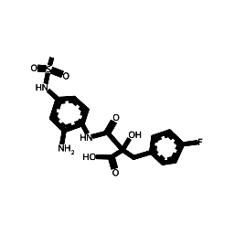 CS(=O)(=O)Nc1ccc(NC(=O)C(O)(Cc2ccc(F)cc2)C(=O)O)c(N)c1